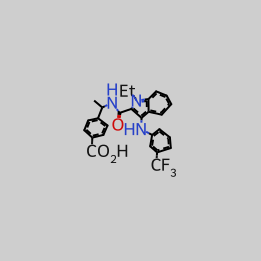 CCn1c(C(=O)NC(C)c2ccc(C(=O)O)cc2)c(Nc2cccc(C(F)(F)F)c2)c2ccccc21